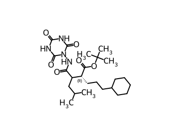 CC(C)CC(C(=O)Nn1c(=O)[nH]c(=O)[nH]c1=O)[C@@H](CCCC1CCCCC1)C(=O)OC(C)(C)C